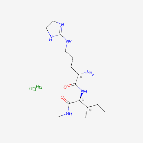 CC[C@H](C)[C@H](NC(=O)[C@@H](N)CCCNC1=NCCN1)C(=O)NC.Cl.Cl